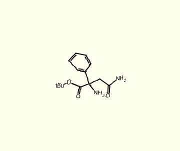 CC(C)(C)OC(=O)C(N)(CC(N)=O)c1ccccc1